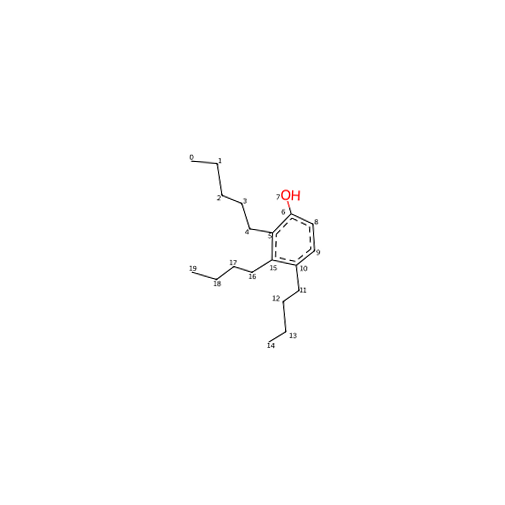 CCCCCc1c(O)ccc(CCCC)c1CCCC